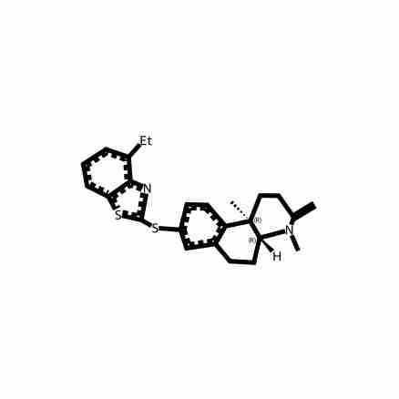 C=C1CC[C@]2(C)c3ccc(Sc4nc5c(CC)cccc5s4)cc3CC[C@H]2N1C